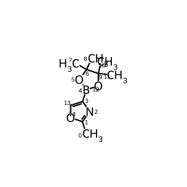 Cc1nc(B2OC(C)(C)C(C)(C)O2)co1